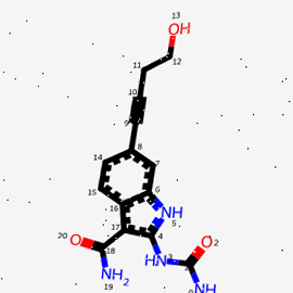 NC(=O)Nc1[nH]c2cc(C#CCCO)ccc2c1C(N)=O